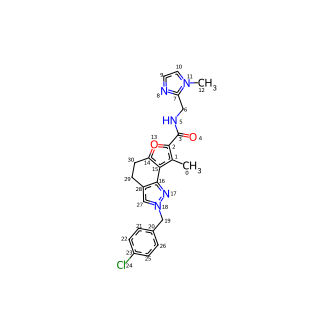 Cc1c(C(=O)NCc2nccn2C)oc2c1-c1nn(Cc3ccc(Cl)cc3)cc1CC2